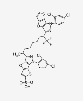 CC(CCCCCC(c1nn(-c2ccc(Cl)cc2Cl)c2c1oc1ccsc12)C(F)(F)F)c1nn(-c2ccc(Cl)cc2Cl)c2c1oc1cc(S(=O)(=O)O)sc12